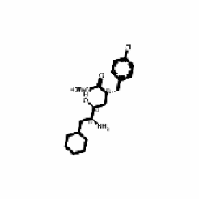 CNC(=O)[C@H](Cc1ccc(Cl)cc1)C[C@H](O)[C@@H](N)CC1CCCCC1.Cl